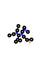 c1ccc(-c2ccc(N(c3ccc(-c4ccccc4)cc3)c3cc(-c4cc5ccccc5c5ccccc45)cc(N(c4ccc(-c5ccc6sc7ccccc7c6c5)cc4)c4ccc5c6ccccc6n(-c6ccccc6)c5c4)c3)cc2)cc1